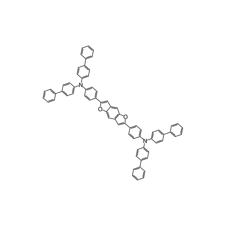 c1ccc(-c2ccc(N(c3ccc(-c4ccccc4)cc3)c3ccc(-c4cc5cc6oc(-c7ccc(N(c8ccc(-c9ccccc9)cc8)c8ccc(-c9ccccc9)cc8)cc7)cc6cc5o4)cc3)cc2)cc1